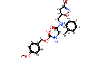 COc1ccc(COC(=O)N[C@@H](Cc2ccccc2)C(=O)NCC2CC(Br)=NO2)cc1